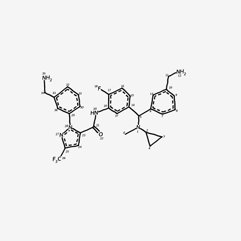 CN(C1CC1)C(c1cccc(CN)c1)c1ccc(F)c(NC(=O)c2cc(C(F)(F)F)nn2-c2cccc(CN)c2)c1